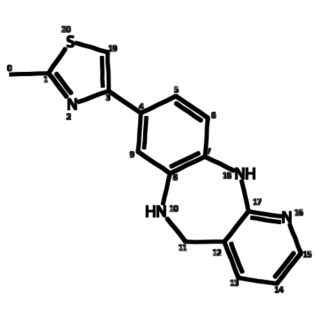 Cc1nc(-c2ccc3c(c2)NCc2cccnc2N3)cs1